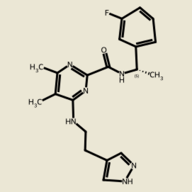 Cc1nc(C(=O)N[C@@H](C)c2cccc(F)c2)nc(NCCc2cn[nH]c2)c1C